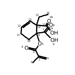 C=C(C)C(=O)OC1(C(=O)O)CCC=CC1(CC)C(=O)O